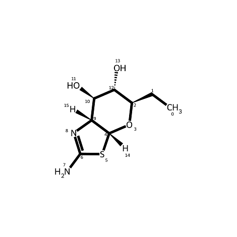 CC[C@H]1O[C@@H]2SC(N)=N[C@@H]2[C@@H](O)[C@@H]1O